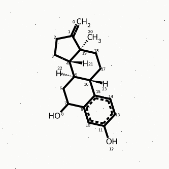 C=C1CC[C@H]2[C@@H]3CC(O)c4cc(O)ccc4[C@H]3CC[C@]12C